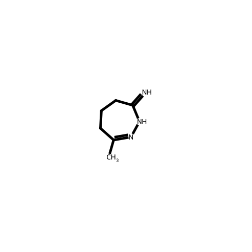 CC1=NNC(=N)CCC1